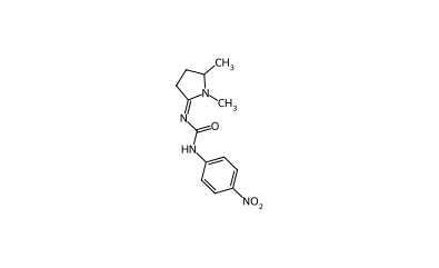 CC1CCC(=NC(=O)Nc2ccc([N+](=O)[O-])cc2)N1C